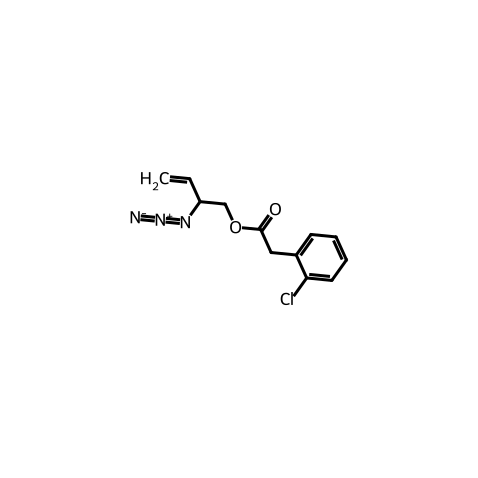 C=CC(COC(=O)Cc1ccccc1Cl)N=[N+]=[N-]